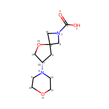 O=C(O)N1CC2(C[C@H](N3CCOCC3)CO2)C1